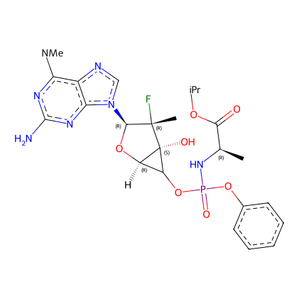 CNc1nc(N)nc2c1ncn2[C@@H]1O[C@@H]2C(OP(=O)(N[C@H](C)C(=O)OC(C)C)Oc3ccccc3)[C@]2(O)[C@@]1(C)F